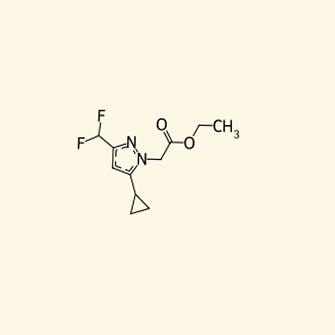 CCOC(=O)Cn1nc(C(F)F)cc1C1CC1